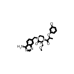 COC[C@H]1C(=O)N(Cc2ccc3c(N)ncnc3c2)CCN1C(=O)C(C)Oc1cccc(Cl)c1